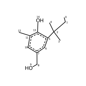 CCC(C)(C)c1cc(CO)cc(C)c1O